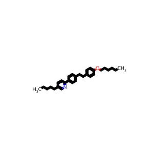 CCCCCCOc1ccc(CCc2ccc(-c3ccc(CCCCC)cn3)cc2)cc1